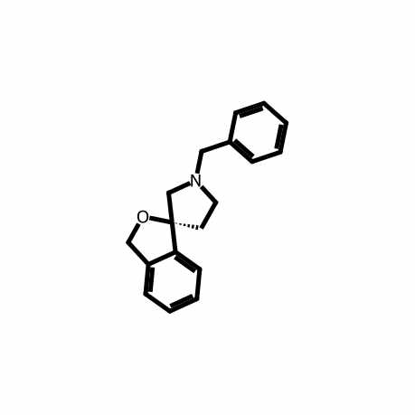 c1ccc(CN2CC[C@@]3(C2)OCc2ccccc23)cc1